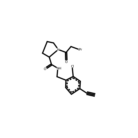 C#Cc1ccc(CNC(=O)C2CCCN2C(=O)CC(C)C)c(Cl)c1